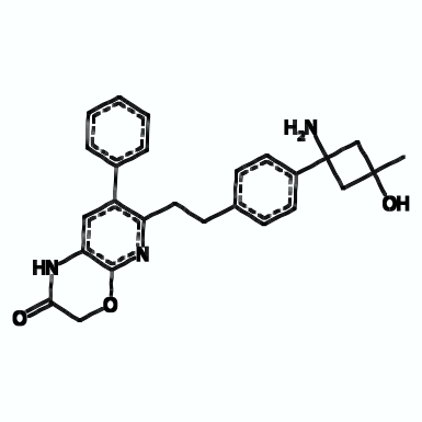 CC1(O)CC(N)(c2ccc(CCc3nc4c(cc3-c3ccccc3)NC(=O)CO4)cc2)C1